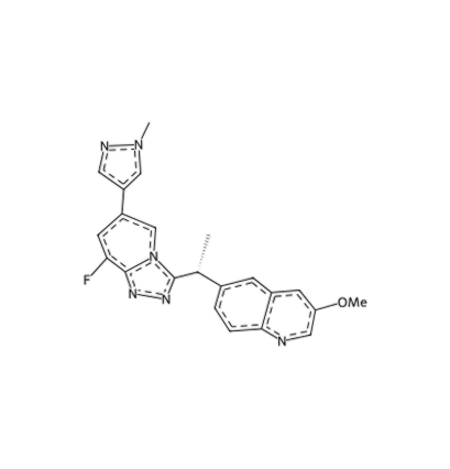 COc1cnc2ccc([C@@H](C)c3nnc4c(F)cc(-c5cnn(C)c5)cn34)cc2c1